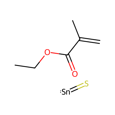 C=C(C)C(=O)OCC.[S]=[Sn]